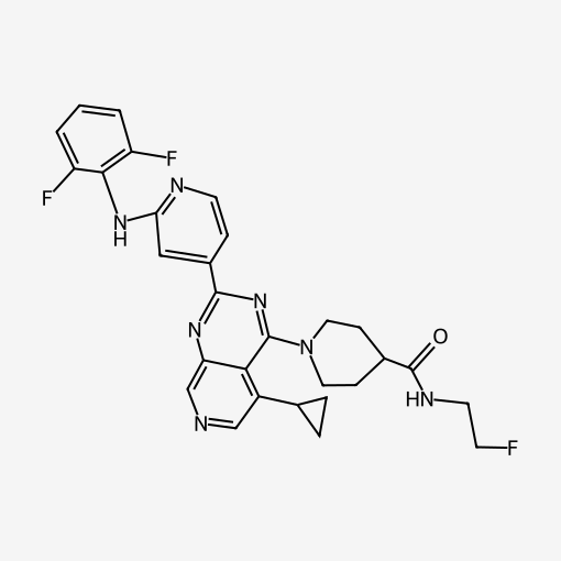 O=C(NCCF)C1CCN(c2nc(-c3ccnc(Nc4c(F)cccc4F)c3)nc3cncc(C4CC4)c23)CC1